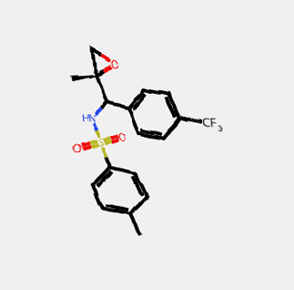 Cc1ccc(S(=O)(=O)NC(c2ccc(C(F)(F)F)cc2)[C@]2(C)CO2)cc1